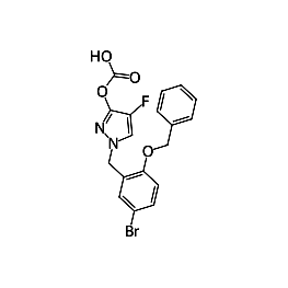 O=C(O)Oc1nn(Cc2cc(Br)ccc2OCc2ccccc2)cc1F